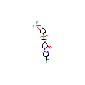 CC(C)([C@H]1CCN(c2ccc(C(F)(F)F)cn2)C(=O)C1)S(=O)(=O)c1cccc(OC(F)(F)F)c1